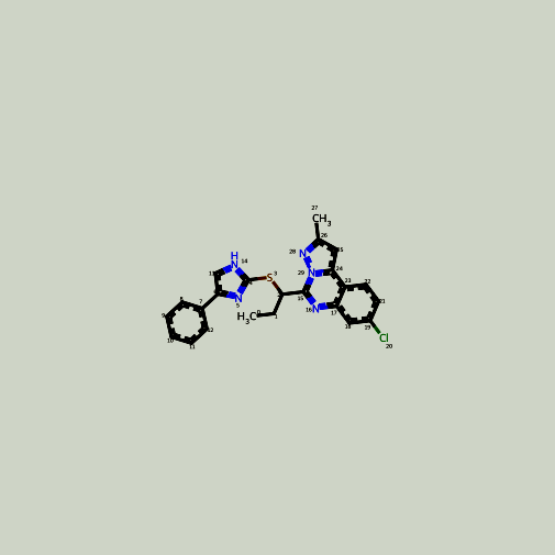 CCC(Sc1nc(-c2ccccc2)c[nH]1)c1nc2cc(Cl)ccc2c2cc(C)nn12